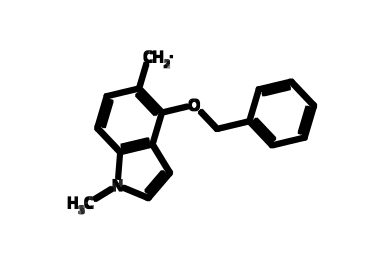 [CH2]c1ccc2c(ccn2C)c1OCc1ccccc1